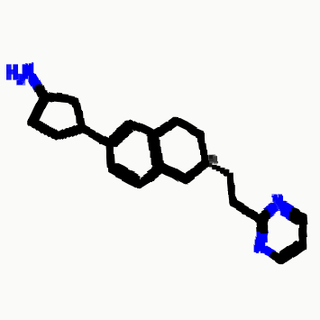 NC1CCC(c2ccc3c(c2)CC[C@H](CCc2ncccn2)C3)C1